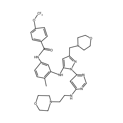 Cc1ccc(NC(=O)c2ccc(OC(F)(F)F)cc2)cc1Nc1cc(CN2CCOCC2)nn1-c1cc(NCCN2CCOCC2)ncn1